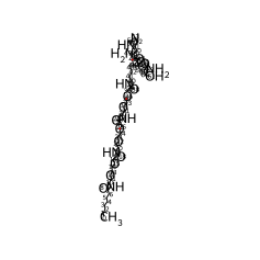 CCCCCCCC(=O)NCCOCCOCC(=O)NCCOCCOCC(=O)NCCOCCOCC(=O)NCCCC[C@H](CC(=O)[C@@H](N)Cc1cnc[nH]1)C(=O)C[C@@H](CO)C(N)=O